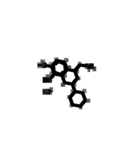 Br.NCC1CC(C2CCCCC2)Cc2c1ccc(O)c2O